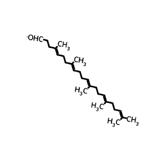 CC(C)=CCC/C(C)=C/CC/C(C)=C/CC/C=C(\C)CC/C=C(\C)CC[C]=O